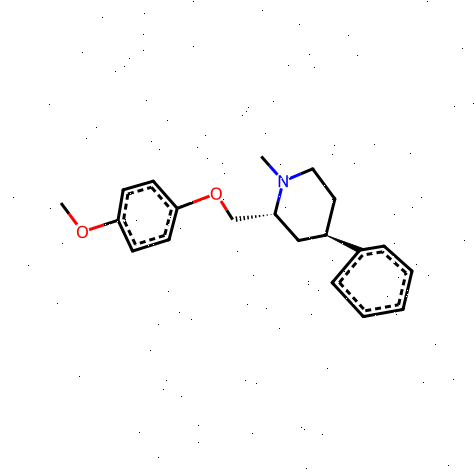 COc1ccc(OC[C@H]2C[C@H](c3ccccc3)CCN2C)cc1